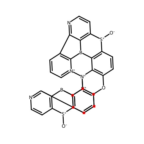 [O-][S+]1c2ccnc3c2B2c4c1ccc1c4[N+]4(c5c(ccc6c5B5c7c(ccnc7-c7ccc[n+]4c75)[S+]6[O-])O1)[n+]1cccc-3c12